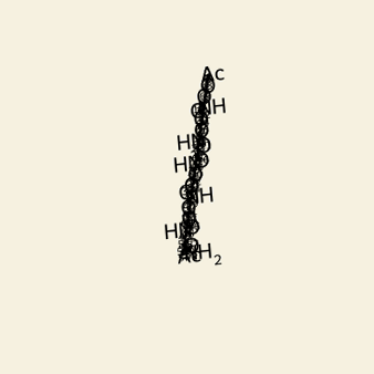 CC(=O)CCOCCOCCNC(=O)COCCOCCNC(=O)CCCC(=O)NCCOCCOCC(=O)NCCOCCOCC(=O)NCCCCC(CC(C)=O)C(N)=O